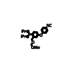 [C-]#[N+]c1ccc(Oc2ccc(B(OC(C)C)OC(C)C)c(COCOC)c2)cc1